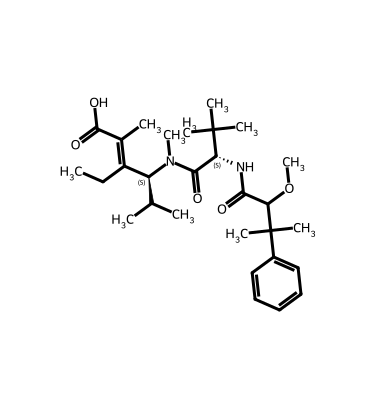 CCC(=C(C)C(=O)O)[C@H](C(C)C)N(C)C(=O)[C@@H](NC(=O)C(OC)C(C)(C)c1ccccc1)C(C)(C)C